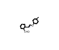 Cc1ccc(O/C=C/c2ccccc2C=O)cc1